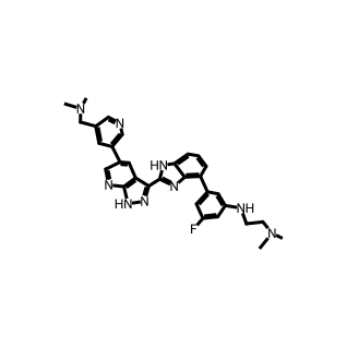 CN(C)CCNc1cc(F)cc(-c2cccc3[nH]c(-c4n[nH]c5ncc(-c6cncc(CN(C)C)c6)cc45)nc23)c1